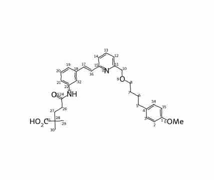 COc1ccc(CCCCOCc2cccc(/C=C/c3cccc(NC(=O)CCC(C)(C)C(=O)O)c3)n2)cc1